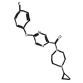 O=C(c1cnc(Oc2ccc(F)cc2)cn1)N1CCN(C2CC2)CC1